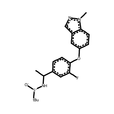 CC(N[S+]([O-])C(C)(C)C)c1ccc(Oc2ccc3c(cnn3C)c2)c(F)c1